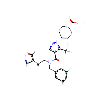 Cc1noc(C)c1C(=O)CN(Cc1cc(F)cc(F)c1)C(=O)c1cnn([C@H]2CC[C@H](C(=O)O)CC2)c1C(F)(F)F